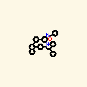 c1ccc(-c2nc3cc(-c4cccc(-c5ccc6ccccc6c5-c5ccc(-c6cc(-c7ccccc7)c7ccccc7n6)cc5)c4)ccc3o2)cc1